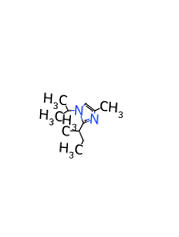 CCC(C)c1nc(C)cn1C(C)C